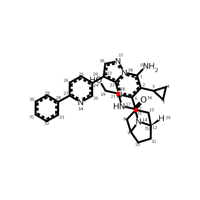 Nc1c(C2CC2)c(C2CC3CC[C@@H](C2)N3C(=O)NCCO)nc2c(-c3ccc(-c4ccccc4)nc3)cnn12